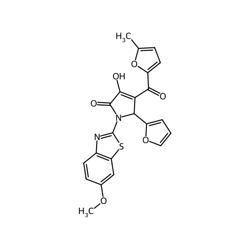 COc1ccc2nc(N3C(=O)C(O)=C(C(=O)c4ccc(C)o4)C3c3ccco3)sc2c1